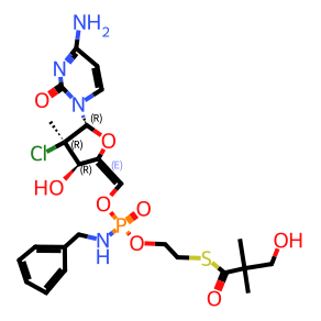 CC(C)(CO)C(=O)SCCOP(=O)(NCc1ccccc1)O/C=C1/O[C@@H](n2ccc(N)nc2=O)[C@](C)(Cl)[C@@H]1O